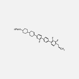 C=CCc1ccc(-c2ccc(-c3ccc(C4=CCC(C5CCC(CCCCC)CC5)CC4)cc3F)cc2)c(F)c1F